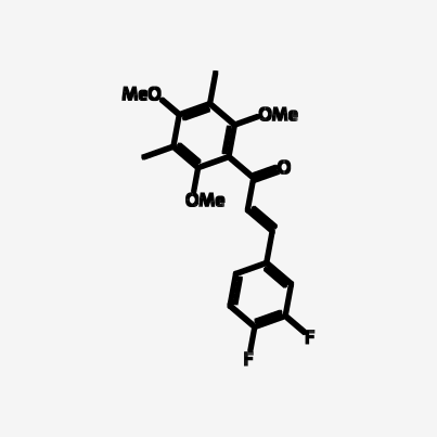 COc1c(C)c(OC)c(C(=O)C=Cc2ccc(F)c(F)c2)c(OC)c1C